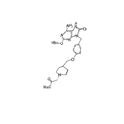 CCCCOc1nc(N)c2[nH]c(=O)n(Cc3ccc(OCC4CCN(CC(=O)OC)CC4)cc3)c2n1